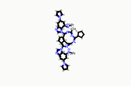 CC1=N\C(C2CCCC2)=N/C2=NC(n3cnc4cc(-n5cccc5)cc(NC(C)C)c43)=C3C=CC(=C3C2)/C(n2cnc3cc(-n4cccc4)cc(NC(C)C)c32)=N\1